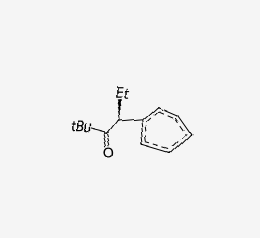 CC[C@H](C(=O)C(C)(C)C)c1ccccc1